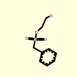 O=S(=O)(Cc1ccccc1)OCCCl